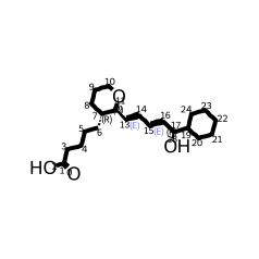 O=C(O)CCCC[C@@H]1CCCO[C@H]1/C=C/C=C/[C@H](O)C1CCCCC1